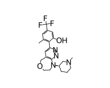 Cc1cc(C(F)(F)F)cc(O)c1-c1cc2c(nn1)N([C@@H]1CCCN(C)C1)CCOC2